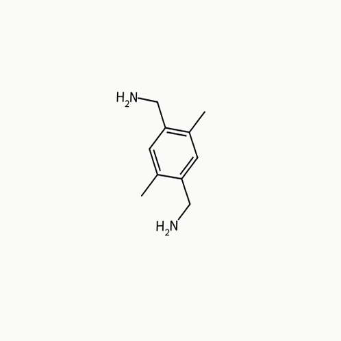 Cc1cc(CN)c(C)cc1CN